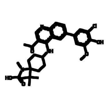 COc1cc(-c2ccc3ncc(C(C)=O)c(NC4CCC(N(C)C(=O)O)(C(C)(C)C)CC4)c3c2)cc(Cl)c1O